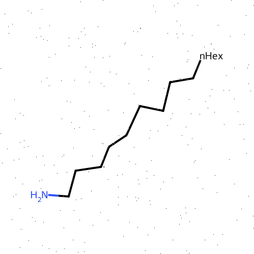 CCCCCCCCCCCC[CH]CCN